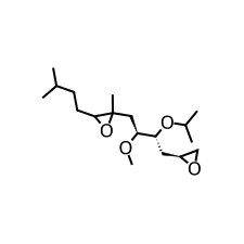 CO[C@@H](CC1(C)OC1CCC(C)C)[C@@H](C[C@H]1CO1)OC(C)C